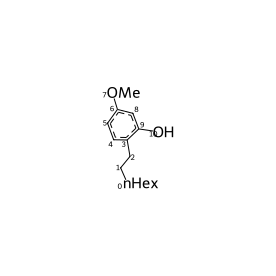 CCCCCCCCc1ccc(OC)cc1O